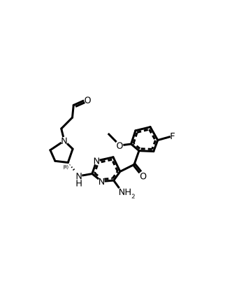 COc1ccc(F)cc1C(=O)c1cnc(N[C@@H]2CCN(CCC=O)C2)nc1N